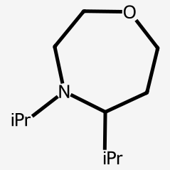 CC(C)C1CCOCCN1C(C)C